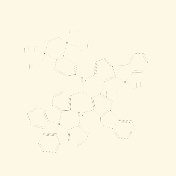 CC1(C)CCC(C)(C)c2cc(N3B4c5cccc6c5N(c5ccccc5C6(c5ccccc5)c5ccccc5)c5c4c(cc4c5oc5ccccc54)-c4c3ccc3c4C(C)(C)c4ccccc4-3)ccc21